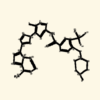 Cc1ncc(NC(=O)c2ccc(CN3CCN(C)CC3)c(C(F)(F)F)c2)cc1-n1cc(-c2cnc3c(N)ncnn23)cn1